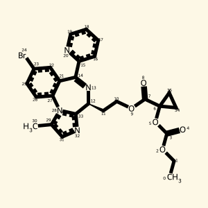 CCOC(=O)OC1(C(=O)OCC[C@@H]2N=C(c3ccccn3)c3cc(Br)ccc3-n3c(C)cnc32)CC1